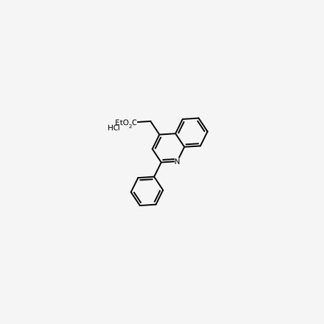 CCOC(=O)Cc1cc(-c2ccccc2)nc2ccccc12.Cl